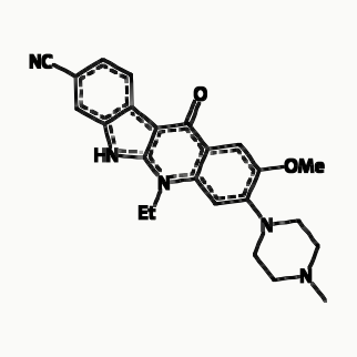 CCn1c2cc(N3CCN(C)CC3)c(OC)cc2c(=O)c2c3ccc(C#N)cc3[nH]c21